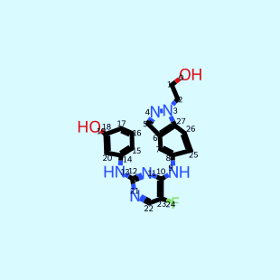 OCCn1ncc2cc(Nc3nc(Nc4cccc(O)c4)ncc3F)ccc21